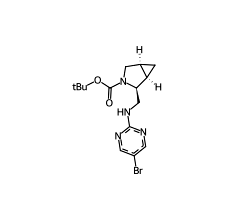 CC(C)(C)OC(=O)N1C[C@H]2C[C@H]2[C@H]1CNc1ncc(Br)cn1